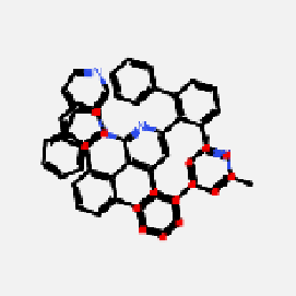 Cc1cc(-c2ccccc2-c2cc(-c3c(-c4ccccc4)cccc3-c3ccccc3)nc(-n3c4ccccc4c4ccncc43)c2-c2c(-c3ccccc3)cccc2-c2ccccc2)cc(C)n1